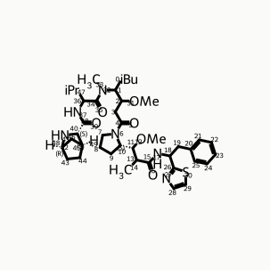 CCC(C)C(C(CC(=O)N1CCC[C@H]1C(OC)C(C)C(=O)NC(Cc1ccccc1)c1nccs1)OC)N(C)C(=O)C(NC(=O)[C@H]1N[C@@H]2CC[C@H]1C2)C(C)C